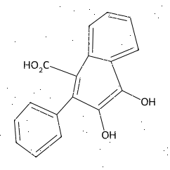 O=C(O)c1c(-c2ccccc2)c(O)c(O)c2ccccc12